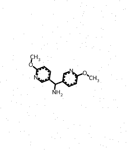 COc1ccc(C(N)c2ccc(OC)nc2)cn1